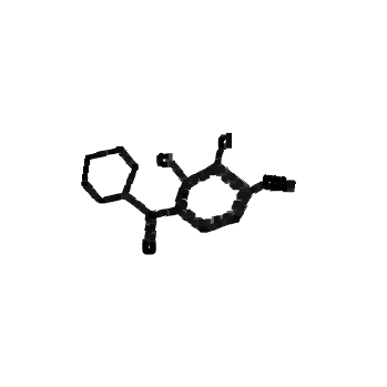 COc1ccc(C(=O)C2CCCCC2)c(Cl)c1Cl